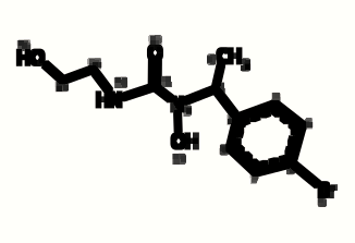 CC(c1ccc(Br)cc1)N(O)C(=O)NCCO